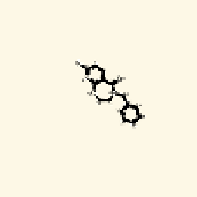 O=C1c2ccc(F)nc2OCCN1Cc1ccccc1